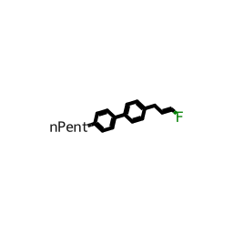 CCCCCc1ccc(-c2ccc(C/C=C/F)cc2)cc1